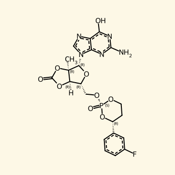 C[C@@]12OC(=O)O[C@@H]1[C@@H](CO[P@]1(=O)OCC[C@H](c3cccc(F)c3)O1)O[C@H]2n1cnc2c(O)nc(N)nc21